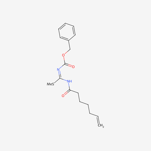 C=CCCCCC(=O)NC(=NC(=O)OCc1ccccc1)SC